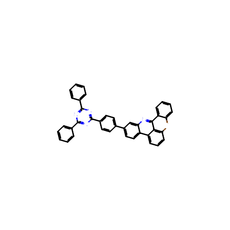 c1ccc(-c2nc(-c3ccccc3)nc(-c3ccc(-c4ccc5c(c4)nc4c6c(cccc65)Sc5ccccc5-4)cc3)n2)cc1